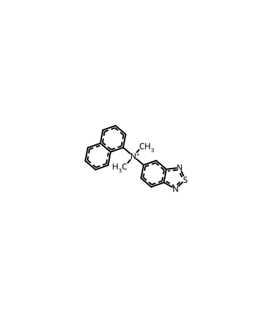 C[N+](C)(c1ccc2nsnc2c1)c1cccc2ccccc12